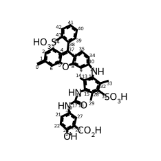 C=c1ccc2c(c1)Oc1cc(Nc3c(C)c(NC(=O)Nc4ccc(O)c(C(=O)O)c4)c(C)c(S(=O)(=O)O)c3C)ccc1C=2c1ccccc1S(=O)(=O)O